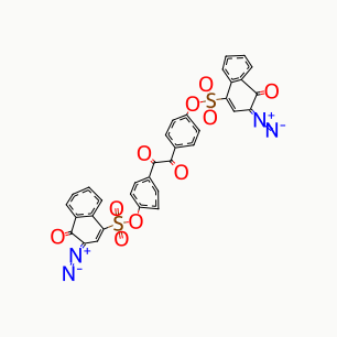 [N-]=[N+]=C1C=C(S(=O)(=O)Oc2ccc(C(=O)C(=O)c3ccc(OS(=O)(=O)C4=CC(=[N+]=[N-])C(=O)c5ccccc54)cc3)cc2)c2ccccc2C1=O